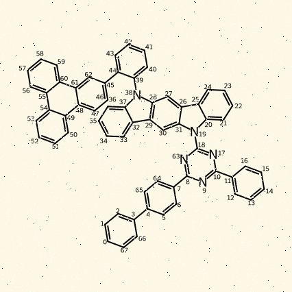 c1ccc(-c2ccc(-c3nc(-c4ccccc4)nc(-n4c5ccccc5c5cc6c(cc54)c4ccccc4n6-c4ccccc4-c4ccc5c6ccccc6c6ccccc6c5c4)n3)cc2)cc1